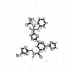 CN(Cc1nc(Br)cs1)C(=O)c1cc(-c2ncco2)nc(-c2nnc([C@@](C)(Cc3ccccc3)OC(N)=O)o2)c1